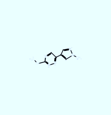 COc1ncc(-c2cnn(C)c2)nn1